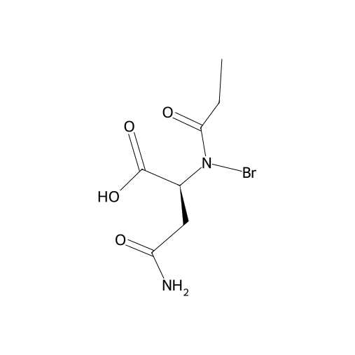 CCC(=O)N(Br)[C@@H](CC(N)=O)C(=O)O